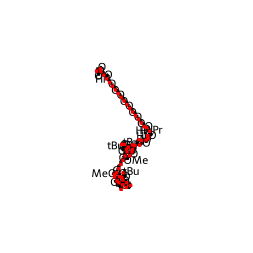 C=C1C[C@H]2[C@H](OC3CCCCO3)N(C(=O)OC(C)(C)C)c3cc(OCCCCCOc4cc5c(cc4OC)C(=O)N4C=C(c6ccc(NC(=O)[C@H](C)NC(=O)[C@@H](NC(=O)CCOCCOCCOCCOCCOCCOCCOCCOCCNC(=O)CCN7C(=O)C=CC7=O)C(C)C)cc6)C[C@H]4C(O[Si](C)(C)C(C)(C)C)N5C(=O)OC(C)(C)C)c(OC)cc3C(=O)N2C1